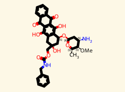 CO[C@@H]1[C@H](C)O[C@@H](O[C@H]2C[C@](O)(COC(=O)NCc3ccccc3)Cc3c(O)c4c(c(O)c32)C(=O)c2ccccc2C4=O)C[C@@H]1N